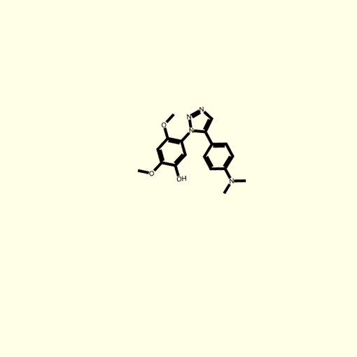 COc1cc(OC)c(-n2nncc2-c2ccc(N(C)C)cc2)cc1O